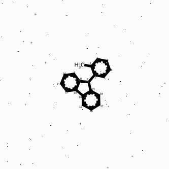 Cc1ccccc1C1c2ccccc2-c2ccccc21